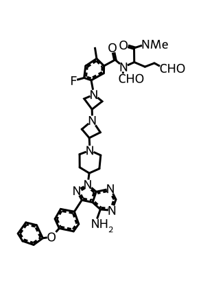 CNC(=O)C(CCC=O)N(C=O)C(=O)c1cc(N2CC(N3CC(N4CCC(n5nc(-c6ccc(Oc7ccccc7)cc6)c6c(N)ncnc65)CC4)C3)C2)c(F)cc1C